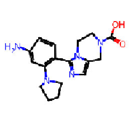 Nc1ccc(-c2ncc3n2CCN(C(=O)O)C3)c(N2CCCC2)c1